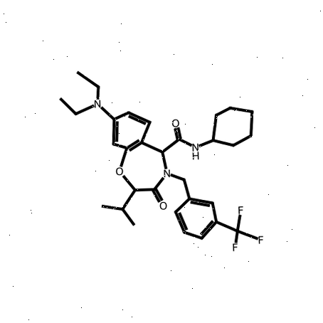 CCN(CC)c1ccc2c(c1)OC(C(C)C)C(=O)N(Cc1cccc(C(F)(F)F)c1)C2C(=O)NC1CCCCC1